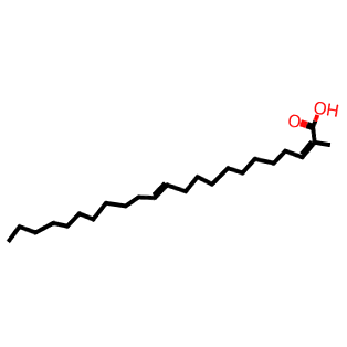 CCCCCCCCCCC=CCCCCCCCCC=C(C)C(=O)O